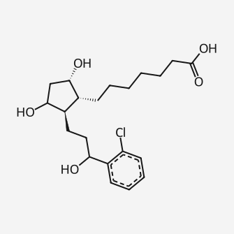 O=C(O)CCCCCC[C@H]1[C@@H](O)CC(O)[C@@H]1CCC(O)c1ccccc1Cl